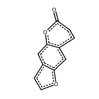 O=c1ccc2cc3occc3cc2o1